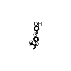 CCC(Oc1ccc(OCC2CCC(O)CC2)cc1)C1CO1